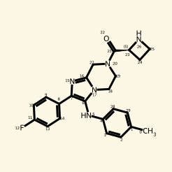 Cc1ccc(Nc2c(-c3ccc(F)cc3)nc3n2CCN(C(=O)[C@@H]2CCN2)C3)cc1